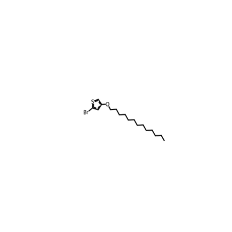 CCCCCCCCCCCCCOc1csc(Br)c1